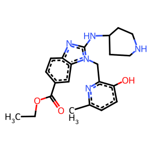 CCOC(=O)c1ccc2nc(NC3CCNCC3)n(Cc3nc(C)ccc3O)c2c1